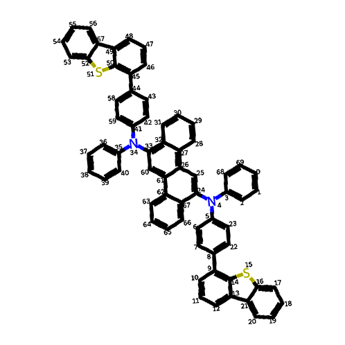 c1ccc(N(c2ccc(-c3cccc4c3sc3ccccc34)cc2)c2cc3c4ccccc4c(N(c4ccccc4)c4ccc(-c5cccc6c5sc5ccccc56)cc4)cc3c3ccccc23)cc1